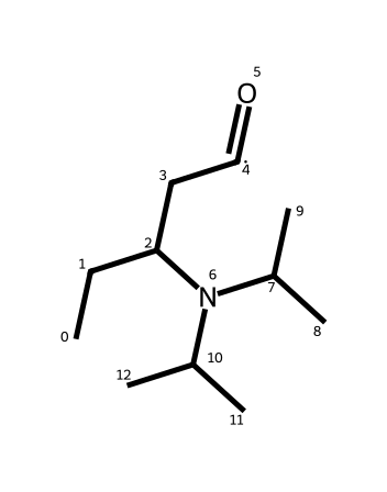 CCC(C[C]=O)N(C(C)C)C(C)C